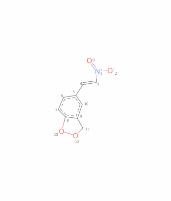 O=[N+]([O-])C=Cc1ccc2c(c1)COO2